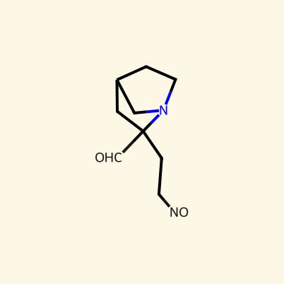 O=CC1(CCN=O)CC2CCN1C2